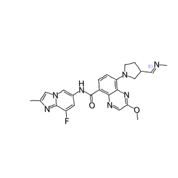 C/N=C/C1CCN(c2ccc(C(=O)Nc3cc(F)c4nc(C)cn4c3)c3ncc(OC)nc23)C1